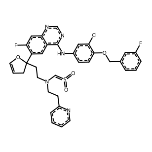 O=S(=O)=CN(CCc1ccccn1)CCC1(c2cc3c(Nc4ccc(OCc5cccc(F)c5)c(Cl)c4)ncnc3cc2F)CC=CO1